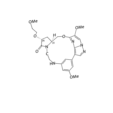 COCCO[C@@H]1C[C@H]2COc3nc4c(cnn4cc3OC)-c3cc(cc(OC)c3)NCCN2C1=O